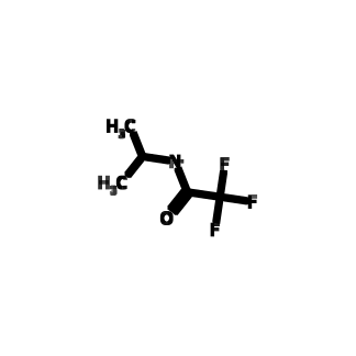 CC(C)[N]C(=O)C(F)(F)F